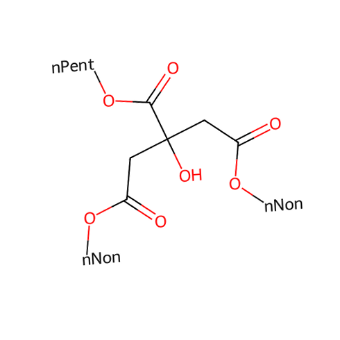 CCCCCCCCCOC(=O)CC(O)(CC(=O)OCCCCCCCCC)C(=O)OCCCCC